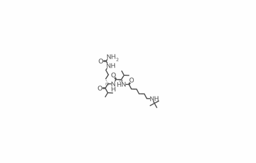 CC(C)C(=O)[C@H](CCCNC(N)=O)NC(=O)[C@@H](NC(=O)CCCCCNC(C)(C)C)C(C)C